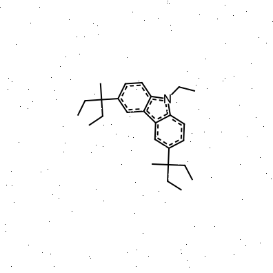 CCn1c2ccc(C(C)(CC)CC)cc2c2cc(C(C)(CC)CC)ccc21